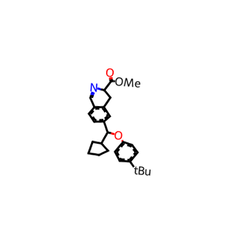 COC(=O)C1Cc2cc(C(Oc3ccc(C(C)(C)C)cc3)C3CCCC3)ccc2C=N1